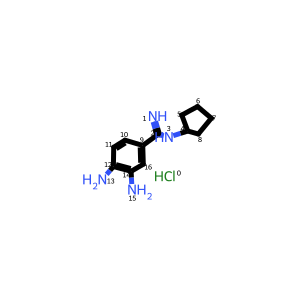 Cl.N=C(NC1CCCC1)c1ccc(N)c(N)c1